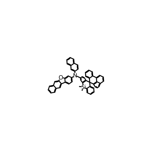 C[Si]1(C)c2ccccc2C2(c3ccccc3-c3cccc4cccc2c34)c2ccc(N(c3ccc4ccccc4c3)c3ccc4c(c3)oc3cc5ccccc5cc34)cc21